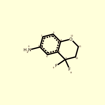 Nc1ccc2c(c1)C(F)(F)CCO2